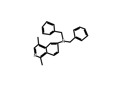 Cc1cnc(C)c2ccc(N(Cc3ccccc3)Cc3ccccc3)cc12